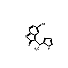 C[C@H](C1=c2cc(O)ccc2=NC1=O)c1ccc[nH]1